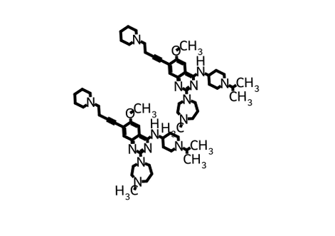 COc1cc2c(NC3CCN(C(C)C)CC3)nc(N3CCCN(C)CC3)nc2cc1C#CCCN1CCCCC1.COc1cc2c(NC3CCN(C(C)C)CC3)nc(N3CCCN(C)CC3)nc2cc1C#CCCN1CCCCC1